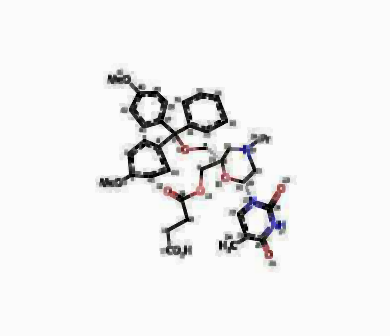 COc1ccc(C(OC[C@]2(COC(=O)CCC(=O)O)CN(C(C)C)C[C@H](n3cc(C)c(=O)[nH]c3=O)O2)(c2ccccc2)c2ccc(OC)cc2)cc1